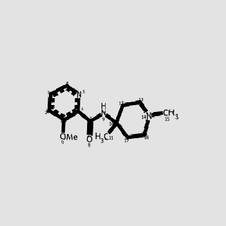 COc1cccnc1C(=O)NC1(C)CCN(C)CC1